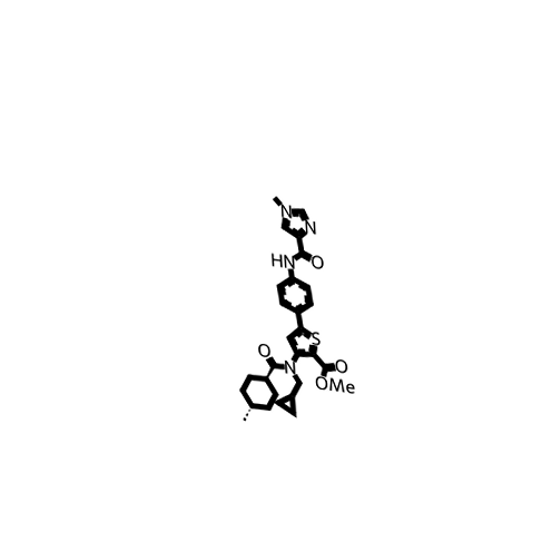 COC(=O)c1sc(-c2ccc(NC(=O)c3cn(C)cn3)cc2)cc1N(CC1CC1)C(=O)[C@H]1CC[C@H](C)CC1